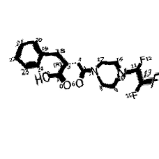 O=C(O)[C@@H](CC(=O)N1CCN(C(F)C(F)F)CC1)Cc1ccccc1